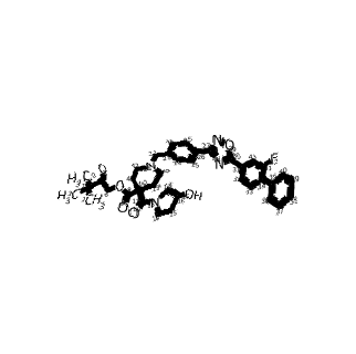 CC(C)(C)C(=O)COC(=O)C1(C(=O)N2CCC(O)C2)CCN(Cc2ccc(-c3noc(-c4ccc(-c5ccccc5)c(F)c4)n3)cc2)CC1